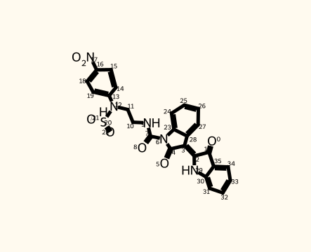 O=C1/C(=C2/C(=O)N(C(=O)NCCN(c3ccc([N+](=O)[O-])cc3)[SH](=O)=O)c3ccccc32)Nc2ccccc21